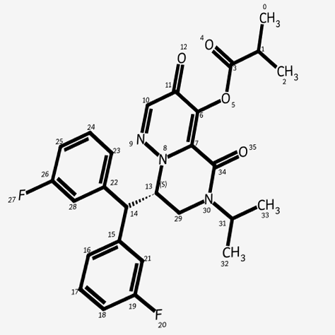 CC(C)C(=O)Oc1c2n(ncc1=O)[C@@H](C(c1cccc(F)c1)c1cccc(F)c1)CN(C(C)C)C2=O